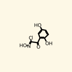 O=C(C(Cl)=NO)c1cc(O)ccc1O